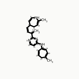 C=C(/C=C\C1C=CNC(C)=CC1)c1nccc(NC2=CC=C(C)CC=C2)n1